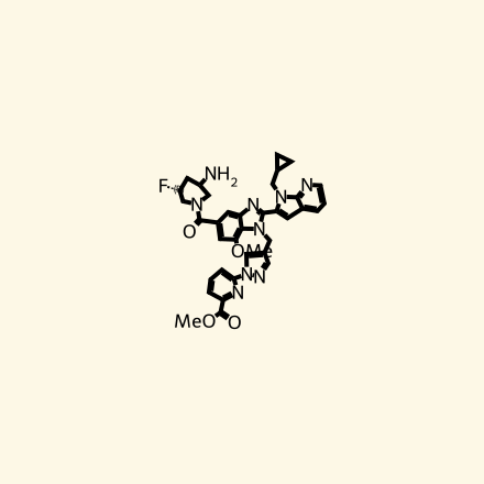 COC(=O)c1cccc(-n2cc(Cn3c(-c4cc5cccnc5n4CC4CC4)nc4cc(C(=O)N5CC(N)C[C@@H](F)C5)cc(OC)c43)cn2)n1